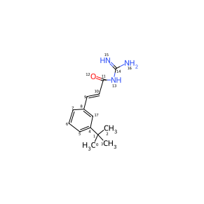 CC(C)(C)c1cccc(C=CC(=O)NC(=N)N)c1